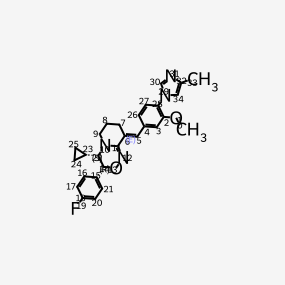 COc1cc(/C=C2\CCCN3C2=NO[C@H](c2ccc(F)cc2)[C@@H]3C2CC2)ccc1-n1cnc(C)c1